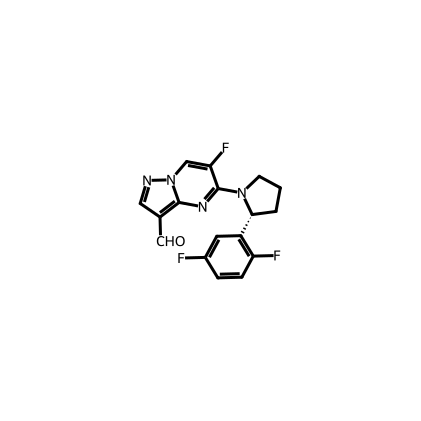 O=Cc1cnn2cc(F)c(N3CCC[C@@H]3c3cc(F)ccc3F)nc12